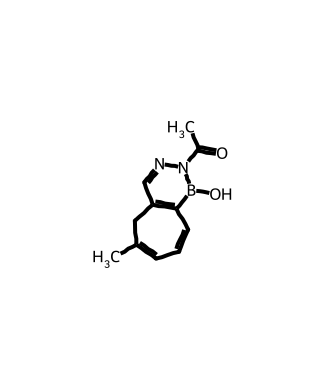 CC(=O)N1N=CC2=C(C=CC=C(C)C2)B1O